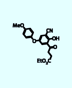 CCOC(=O)CCC(=O)c1cc(Oc2ccc(OC)cc2)cc(C#N)c1O